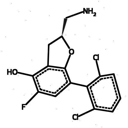 NC[C@H]1Cc2c(O)c(F)cc(-c3c(Cl)cccc3Cl)c2O1